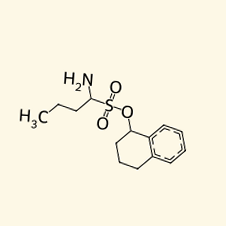 CCCC(N)S(=O)(=O)OC1CCCc2ccccc21